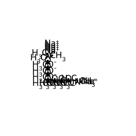 CC(=O)[O-].CC(=O)[O-].CC(=O)[O-].CC(=O)[O-].CC(=O)[O-].CC(=O)[O-].CC(=O)[O-].CCN(CC)CC.CCN(CC)CC.[Na+].[Na+].[Na+].[Na+].[Na+].[Na+].[Na+]